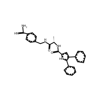 C[C@H](NC(=O)c1cc(-c2ccccc2)c(-c2ccccc2)[nH]1)C(=O)NCc1ccc(C(=N)N)cc1